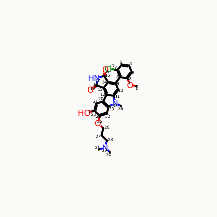 COc1cccc(Cl)c1-c1cc2c(c3c1C(=O)NC3=O)c1cc(O)c(OCCCN(C)C)cc1n2C